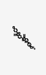 CN1CCN(c2ccc3[nH]c(-c4ccc5c(c4)OC(=C4C=CC(=O)C=C4)N5)nc3n2)CC1